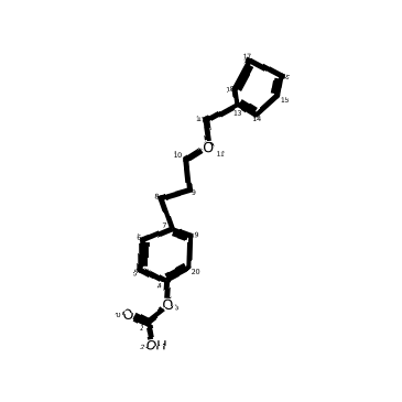 O=C(O)Oc1ccc(CCCOCc2ccccc2)cc1